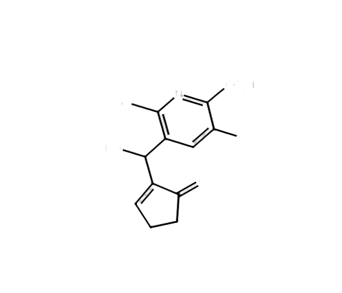 Cc1cc(C(O)C2=CCCC2=O)c(Cl)nc1C(=O)O